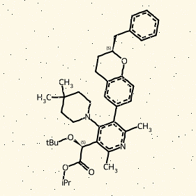 Cc1nc(C)c([C@H](OC(C)(C)C)C(=O)OC(C)C)c(N2CCC(C)(C)CC2)c1-c1ccc2c(c1)CC[C@@H](Cc1ccccc1)O2